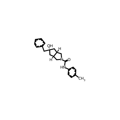 Cc1ccc(NC(=O)N2C[C@@H]3C[C@@](O)(Cc4ccccc4)C[C@@H]3C2)cc1